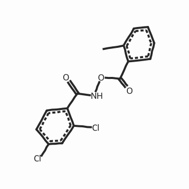 Cc1ccccc1C(=O)ONC(=O)c1ccc(Cl)cc1Cl